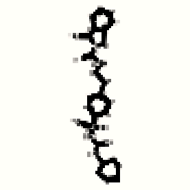 O=C(NC1CC=CCC1)NS(=O)(=O)c1ccc(CCNC(=O)N2Cc3ccccc3C2=O)cc1